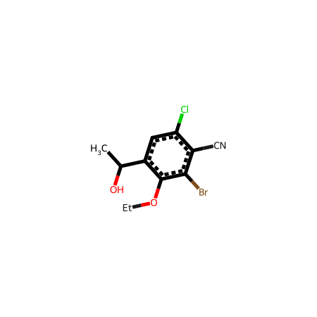 CCOc1c(C(C)O)cc(Cl)c(C#N)c1Br